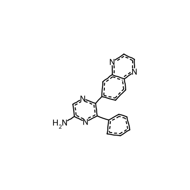 Nc1cnc(-c2ccc3nccnc3c2)c(-c2ccccc2)n1